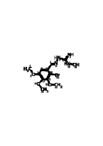 COc1cc(C=NNC(=N)NO)c(Br)c(OC)c1OC